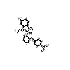 COc1cc(F)ccc1NS(=O)(=O)c1ccccc1Sc1ccc([N+](=O)[O-])cc1